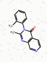 Cc1ccccc1-n1c(C)nc2cnccc2c1=O